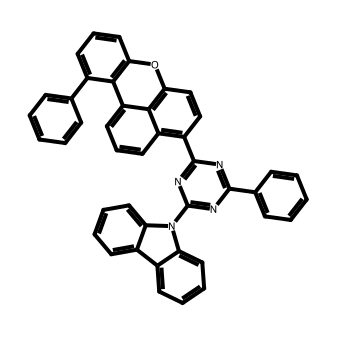 c1ccc(-c2nc(-c3ccc4c5c(cccc35)-c3c(cccc3-c3ccccc3)O4)nc(-n3c4ccccc4c4ccccc43)n2)cc1